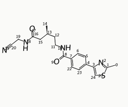 Cc1nc(-c2ccc(C(=O)NCC[C@H](C)CC(=O)NCC#N)cc2)cs1